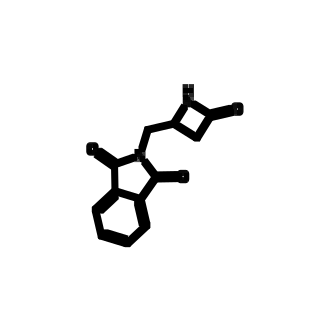 O=C1CC(CN2C(=O)c3ccccc3C2=O)N1